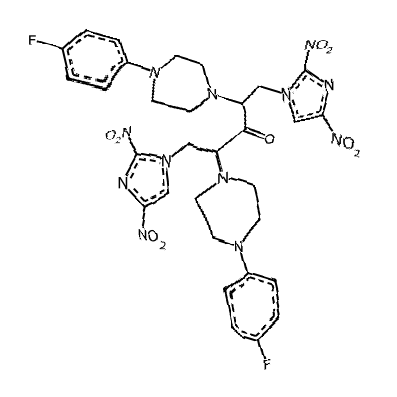 O=C(C(Cn1cc([N+](=O)[O-])nc1[N+](=O)[O-])N1CCN(c2ccc(F)cc2)CC1)C(Cn1cc([N+](=O)[O-])nc1[N+](=O)[O-])N1CCN(c2ccc(F)cc2)CC1